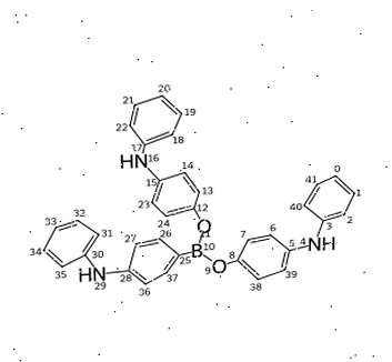 c1ccc(Nc2ccc(OB(Oc3ccc(Nc4ccccc4)cc3)c3ccc(Nc4ccccc4)cc3)cc2)cc1